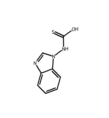 OC(=S)Nn1cnc2ccccc21